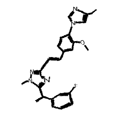 COc1cc(C=Cc2nc(C(C)c3cccc(F)c3)n(C)n2)ccc1-n1cnc(C)c1